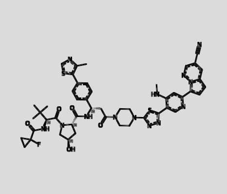 CNc1cc(-c2ccc3cc(C#N)cnn23)ncc1-c1nnc(N2CCN(C(=O)C[C@H](NC(=O)[C@@H]3C[C@@H](O)CN3C(=O)[C@@H](NC(=O)C3(F)CC3)C(C)(C)C)c3ccc(-c4scnc4C)cc3)CC2)s1